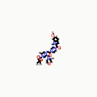 COc1ccc2cc(C(=O)N3CCN(C(=O)CN4C[C@H](C)N(C(=O)OC(C)(C)C)C[C@@H]4CN4CCOC[C@H]4C)CC3)n(C)c2c1